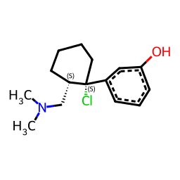 CN(C)C[C@@H]1CCCC[C@@]1(Cl)c1cccc(O)c1